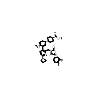 COC1=CCC([C@H]2CC[C@H](C(=O)O)CC2)C=C1c1ccc(N2CCC2)nc1CN1C(=O)O[C@H](c2ccc(F)c(F)c2)[C@@H]1C